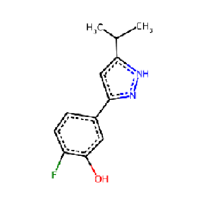 CC(C)c1cc(-c2ccc(F)c(O)c2)n[nH]1